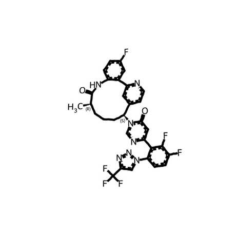 C[C@@H]1CCC[C@H](n2cnc(-c3c(-n4cc(C(F)(F)F)nn4)ccc(F)c3F)cc2=O)c2ccnc(c2)-c2cc(F)ccc2NC1=O